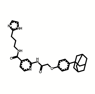 O=C(COc1ccc(C23CC4CC(CC(C4)C2)C3)cc1)Nc1cc(C(=O)NCCCc2ncc[nH]2)ccn1